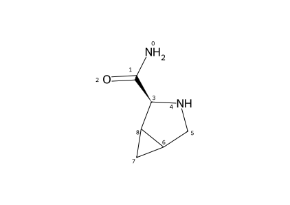 NC(=O)[C@H]1NCC2CC21